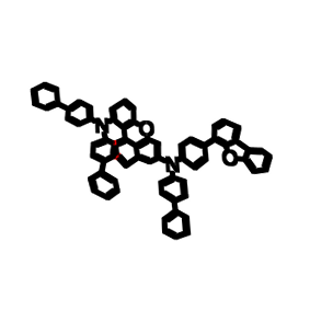 c1ccc(-c2ccc(N(c3ccc(-c4cccc5c4oc4ccccc45)cc3)c3cc4c5c(cccc5c3)-c3c(cccc3N(c3ccc(-c5ccccc5)cc3)c3ccc(-c5ccccc5)cc3)O4)cc2)cc1